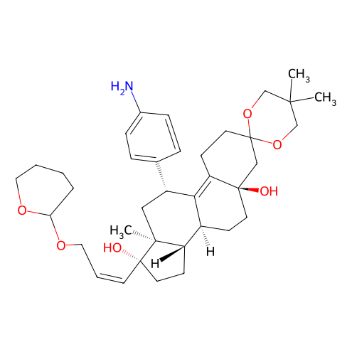 CC1(C)COC2(CCC3=C4[C@@H](CC[C@@]3(O)C2)[C@@H]2CC[C@@](O)(/C=C\COC3CCCCO3)[C@@]2(C)C[C@@H]4c2ccc(N)cc2)OC1